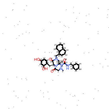 CN1CC(=O)N2[C@@H](Cc3ccc(O)cc3O)C(=O)N(Cc3cccc4ccccc34)C[C@@H]2N1C(=O)NCc1ccccc1